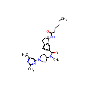 CCCCCC(=O)N[C@@H]1CCc2ccc(C(=O)N(C)C3CCN(c4cc(C)nc(C)n4)CC3)cc21